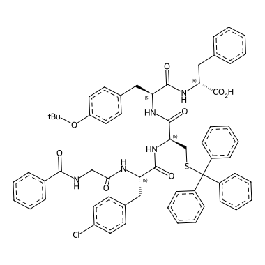 CC(C)(C)Oc1ccc(C[C@H](NC(=O)[C@@H](CSC(c2ccccc2)(c2ccccc2)c2ccccc2)NC(=O)[C@H](Cc2ccc(Cl)cc2)NC(=O)CNC(=O)c2ccccc2)C(=O)N[C@H](Cc2ccccc2)C(=O)O)cc1